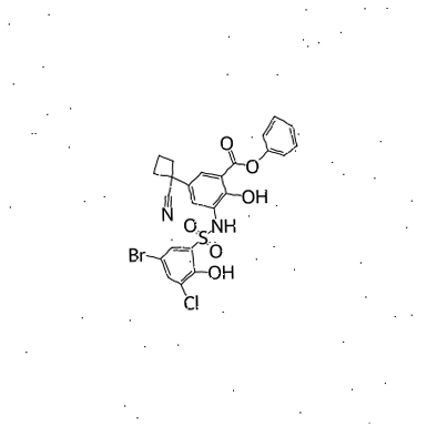 N#CC1(c2cc(NS(=O)(=O)c3cc(Br)cc(Cl)c3O)c(O)c(C(=O)Oc3ccccc3)c2)CCC1